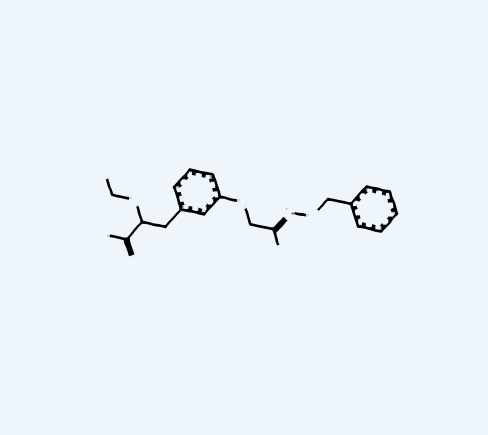 CCOC(Cc1cccc(OCC(C)=NOCc2ccccc2)c1)C(=O)O